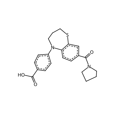 O=C(O)c1ccc(N2CCCSc3cc(C(=O)N4CCCC4)ccc32)cc1